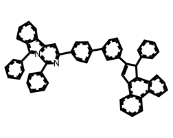 C1=C(c2cccc(-c3ccc(-c4cc5c6ccccc6c(-c6ccccc6)n5c(-c5ccccc5)n4)cc3)c2)C(c2ccccc2)c2c1c1ccccc1c1ccccc21